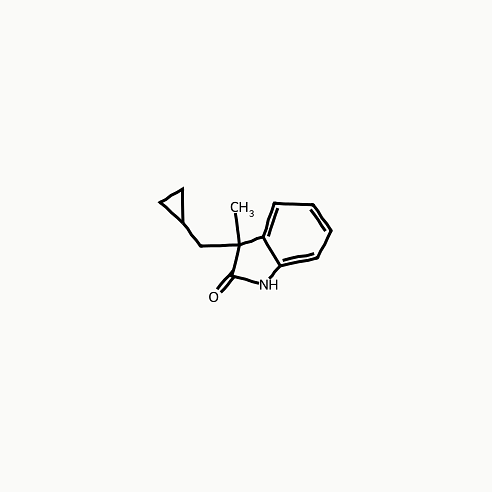 CC1(CC2CC2)C(=O)Nc2ccccc21